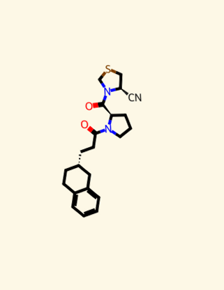 N#C[C@@H]1CSCN1C(=O)[C@H]1CCCN1C(=O)CC[C@H]1CCc2ccccc2C1